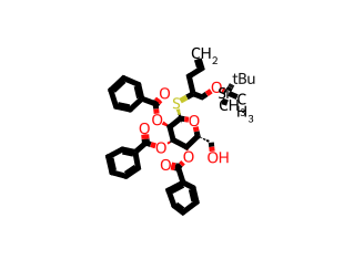 C=CCC(CO[Si](C)(C)C(C)(C)C)S[C@H]1O[C@H](CO)[C@H](OC(=O)c2ccccc2)[C@H](OC(=O)c2ccccc2)[C@H]1OC(=O)c1ccccc1